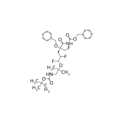 CC(C)(C)OC(=O)NCC(C)(C)OC(F)C(F)C[C@@](CF)(OCc1ccccc1)C(=O)NC(=O)OCc1ccccc1